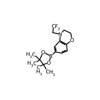 CC1(C)OB(c2ccc3c(c2)N(CC(F)(F)F)CCO3)OC1(C)C